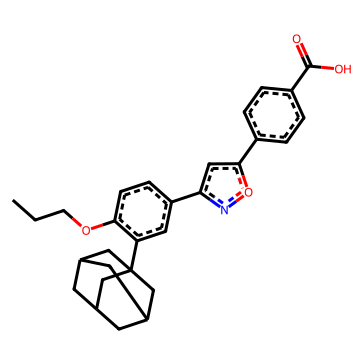 CCCOc1ccc(-c2cc(-c3ccc(C(=O)O)cc3)on2)cc1C12CC3CC(CC(C3)C1)C2